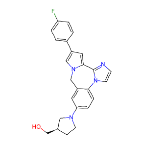 OC[C@@H]1CCN(c2ccc3c(c2)Cn2cc(-c4ccc(F)cc4)cc2-c2nccn2-3)C1